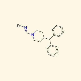 CC/N=C/N1CCC(C(c2ccccc2)c2ccccc2)CC1